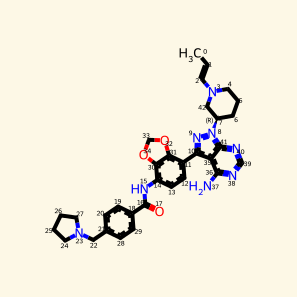 CC=CN1CCC[C@@H](n2nc(-c3ccc(NC(=O)c4ccc(CN5CCCC5)cc4)c4c3OCO4)c3c(N)ncnc32)C1